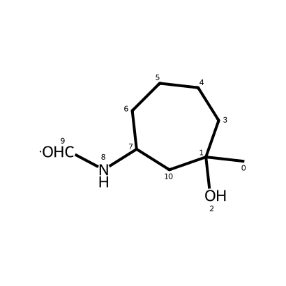 CC1(O)CCCCC(N[C]=O)C1